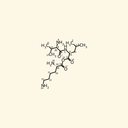 CC(C)C[C@H](NC(=O)[C@H](N)C(C)C)C(=O)OC(=O)[C@@H](N)CCCCN